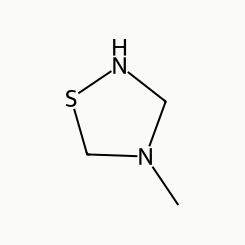 CN1CNSC1